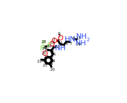 COC(=O)C(CCCNC(=N)N)NC(=O)C1=Cc2cc(C)cc(C)c2O[C@@H]1C(F)(F)F